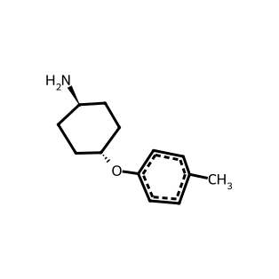 Cc1ccc(O[C@H]2CC[C@H](N)CC2)cc1